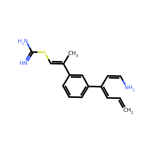 C=C/C=C(\C=C/N)c1cccc(/C(C)=C/SC(=N)N)c1